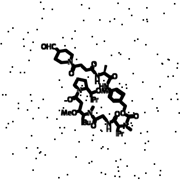 CCC(C)C(C(CC(=O)N1CCCC1C(OC)C(C)C)OC)N(C)C(=O)CNC(=O)C(C(C)C)N(C)C(=O)OCc1ccc(NC(=O)[C@H](C)NC(=O)CCC(=O)N2CCC(C=O)CC2)cc1